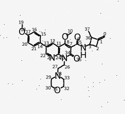 C=C1CC(NC(=O)c2c(OC)c3cc(-c4ccc(OC)cc4)cnc3n(CCN3CCOCC3)c2=O)C1C